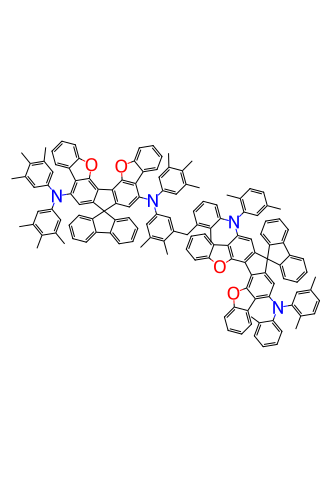 Cc1ccc(C)c(N(c2ccccc2C)c2cc3c(c4oc5ccccc5c24)-c2c(cc(N(c4cc(C)ccc4C)c4cccc(Cc5cc(N(c6cc(C)c(C)c(C)c6)c6cc7c(c8oc9ccccc9c68)-c6c(cc(N(c8cc(C)c(C)c(C)c8)c8cc(C)c(C)c(C)c8)c8c6oc6ccccc68)C76c7ccccc7-c7ccccc76)cc(C)c5C)c4C)c4c2oc2ccccc24)C32c3ccccc3-c3ccccc32)c1